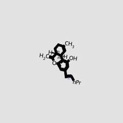 C=C1Oc2cc(/C=C/CCC)cc(O)c2[C@@H]2C=C(C)CC[C@@H]12